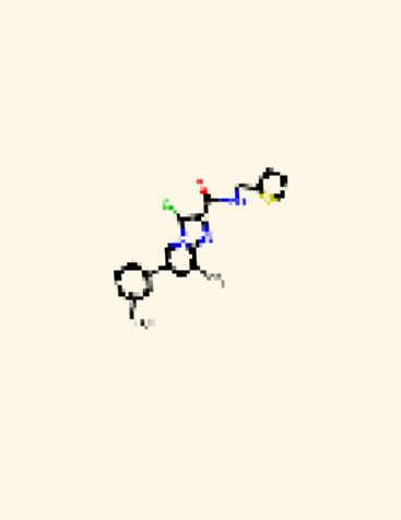 O=C(O)c1cccc(-c2cc(C(F)(F)F)c3nc(C(=O)NCc4cccs4)c(Cl)n3c2)c1